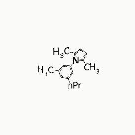 CCCc1cc(C)cc(-n2c(C)ccc2C)c1